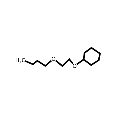 CCCCOCCOC1CCCCC1